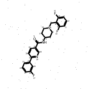 O=C(NC1CCN(Cc2c(F)cccc2F)CC1)c1ccc(-c2cccc(F)c2)nc1